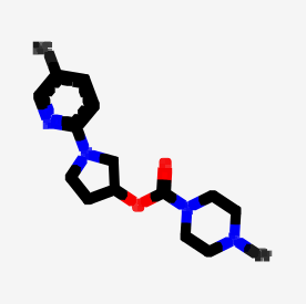 CC(C)N1CCN(C(=O)OC2CCN(c3ccc(C#N)cn3)C2)CC1